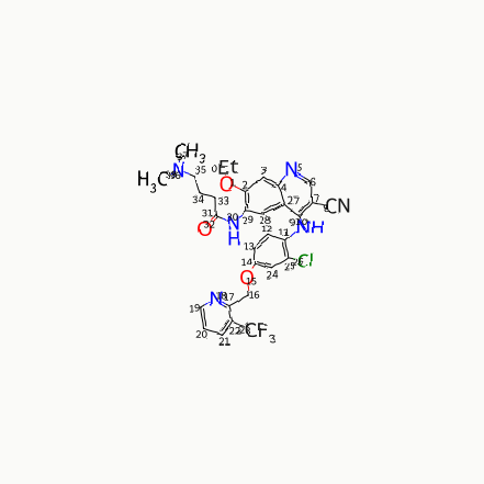 CCOc1cc2ncc(C#N)c(Nc3ccc(OCc4ncccc4C(F)(F)F)cc3Cl)c2cc1NC(=O)CCCN(C)C